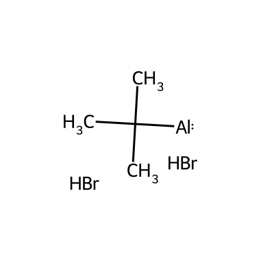 Br.Br.C[C](C)(C)[Al]